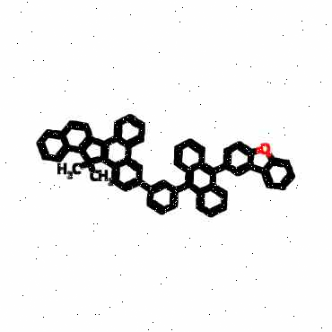 CC1(C)c2c(ccc3ccccc23)-c2c1c1ccc(-c3cccc(-c4c5ccccc5c(-c5ccc6oc7ccccc7c6c5)c5ccccc45)c3)cc1c1ccccc21